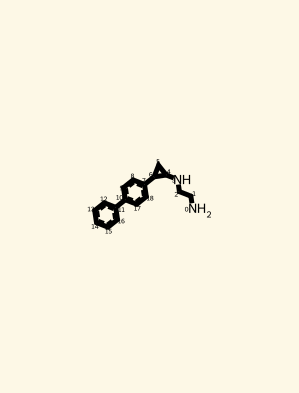 NCCNC1CC1c1ccc(-c2ccccc2)cc1